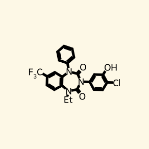 CCN1C(=O)N(c2ccc(Cl)c(O)c2)C(=O)N(c2ccccc2)c2cc(C(F)(F)F)ccc21